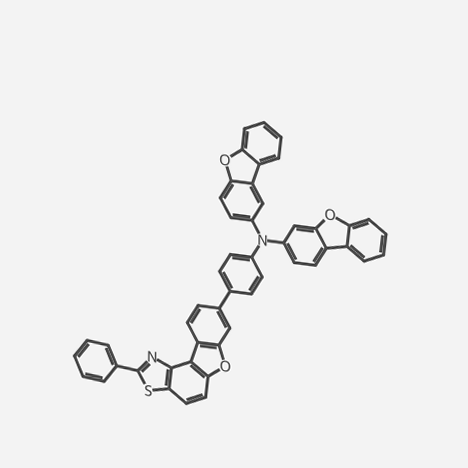 c1ccc(-c2nc3c(ccc4oc5cc(-c6ccc(N(c7ccc8c(c7)oc7ccccc78)c7ccc8oc9ccccc9c8c7)cc6)ccc5c43)s2)cc1